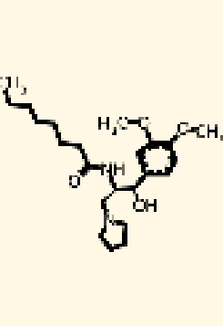 CCCCCCCC(=O)N[C@H](CN1CCCC1)[C@H](O)c1ccc(OC)c(OC)c1